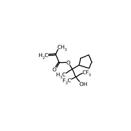 C=C(C)C(=O)OC(C)(C1CCCC1)C(O)(C(F)(F)F)C(F)(F)F